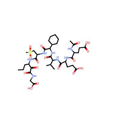 CCCC(NC(=O)C(CS(C)(=O)=O)NC(=O)C(NC(=O)C(NC(=O)C(CCC(=O)O)NC(=O)C(CCC(=O)O)NC(C)=O)C(C)C)C1CCCCC1)C(=O)C(=O)NCC(=O)O